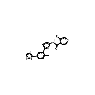 Cc1ccc(-c2nncs2)cc1-c1ccc(NC(=O)c2ccncc2F)s1